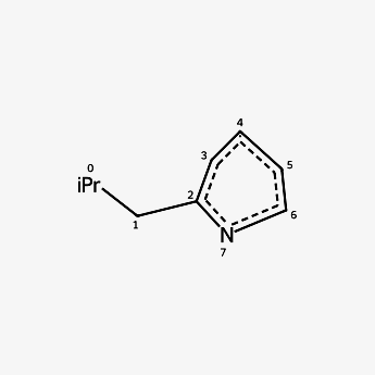 CC(C)Cc1c[c]ccn1